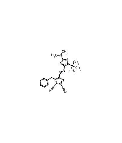 CN(C)c1nc(/N=N/c2nc(C#N)c(C#N)n2Cc2ccccc2)c(C(C)(C)C)s1